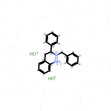 Cl.Cl.Nc1ccccc1CC(NCc1ccccc1)c1ccccc1